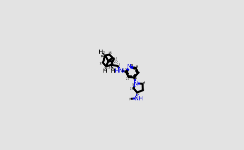 CN[C@@H]1CCN(c2ccnc(NC[C@H]3CC[C@H]4C[C@H]3C4(C)C)c2)C1